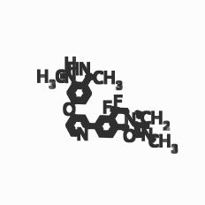 C=C[N+]1(C2CN(C)C2)CC(F)(F)c2cc(-c3cc(Oc4ccc(C(C)=N)c(NC)c4)ccn3)ccc2C1=O